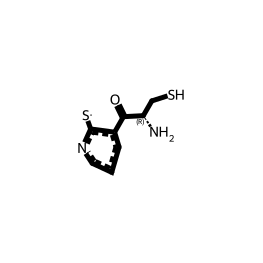 N[C@@H](CS)C(=O)c1cccnc1[S]